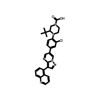 CC(C)(C)C1CN(C(=O)O)CCN1c1ccc(-c2cnc3c(-c4cccc5ncccc45)cnn3c2)cc1Cl